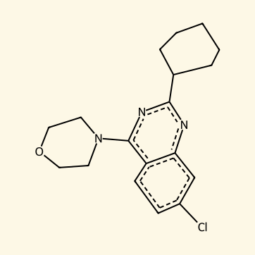 Clc1ccc2c(N3CCOCC3)nc(C3CCCCC3)nc2c1